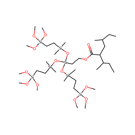 CCC(C)CC(C(=O)OCC[Si](O[Si](C)(C)CC[Si](OC)(OC)OC)(O[Si](C)(C)CC[Si](OC)(OC)OC)O[Si](C)(C)CC[Si](OC)(OC)OC)C(C)CC